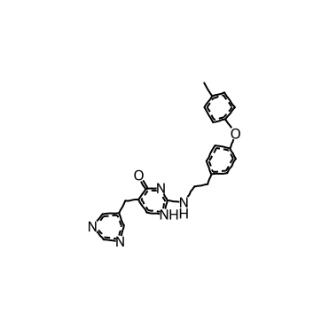 Cc1ccc(Oc2ccc(CCNc3nc(=O)c(Cc4cncnc4)c[nH]3)cc2)cc1